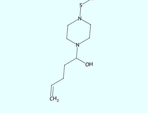 C=CCCC(O)N1CCN(SCC)CC1